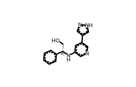 OC[C@H](Nc1cncc(-c2cn[nH]c2)c1)c1ccccc1